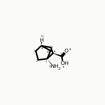 N[C@@]12CC[C@@H](C[C@H]1C(=O)O)C2